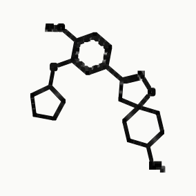 COc1ccc(C2=NOC3(CCC(N)CC3)C2)cc1OC1CCCC1